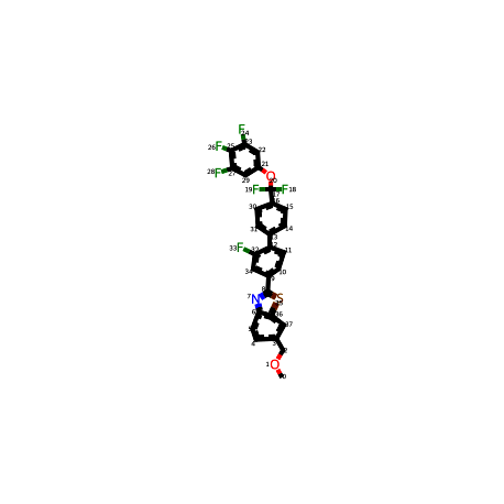 COCc1ccc2nc(-c3ccc(-c4ccc(C(F)(F)Oc5cc(F)c(F)c(F)c5)cc4)c(F)c3)sc2c1